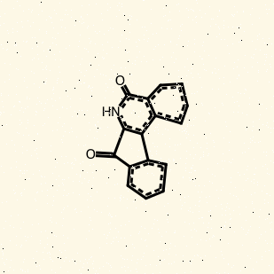 O=C1c2ccccc2-c2c1[nH]c(=O)c1ccccc21